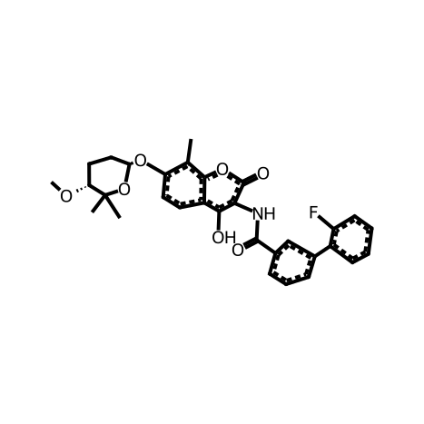 CO[C@@H]1CC[C@H](Oc2ccc3c(O)c(NC(=O)c4cccc(-c5ccccc5F)c4)c(=O)oc3c2C)OC1(C)C